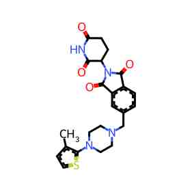 Cc1ccsc1N1CCN(Cc2ccc3c(c2)C(=O)N(C2CCC(=O)NC2=O)C3=O)CC1